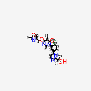 Cc1nc(COc2nc(C)n(-c3cc(-c4ccnc(C(C)(C)O)n4)ccc3Cl)c(=O)c2C)co1